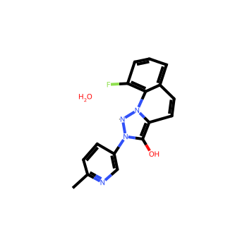 Cc1ccc(N2[N]N3C(=C2O)C=Cc2cccc(F)c23)cn1.O